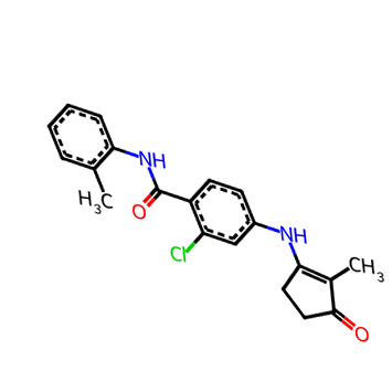 CC1=C(Nc2ccc(C(=O)Nc3ccccc3C)c(Cl)c2)CCC1=O